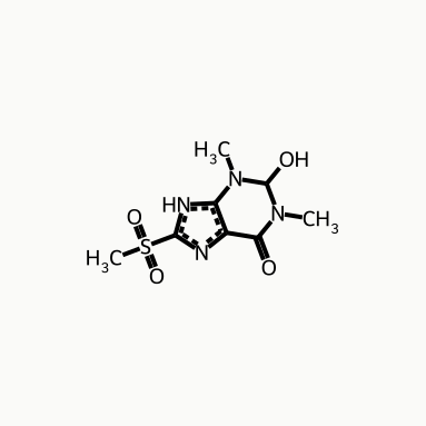 CN1C(=O)c2nc(S(C)(=O)=O)[nH]c2N(C)C1O